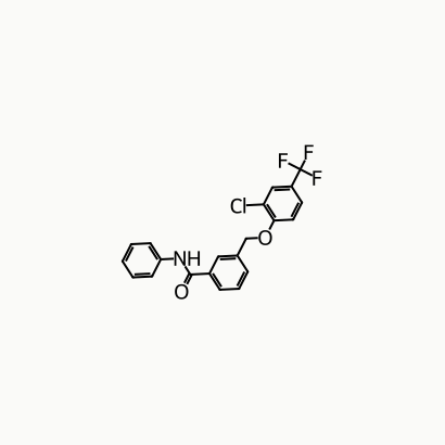 O=C(Nc1ccccc1)c1cccc(COc2ccc(C(F)(F)F)cc2Cl)c1